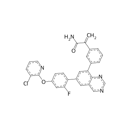 C=C(C(N)=O)c1cccc(-c2cc(-c3ccc(Oc4ncccc4Cl)cc3F)cc3cncnc23)c1